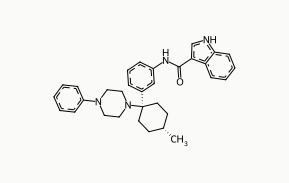 C[C@H]1CC[C@](c2cccc(NC(=O)c3c[nH]c4ccccc34)c2)(N2CCN(c3ccccc3)CC2)CC1